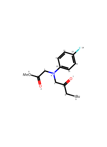 COC(=O)CN(CC(=O)CC(C)(C)C)c1ccc(F)cc1